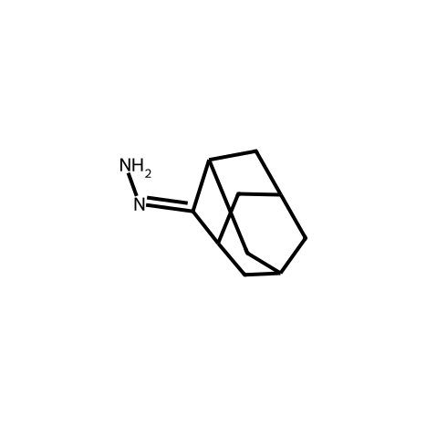 NN=C1C2CC3CC(C2)CC1C3